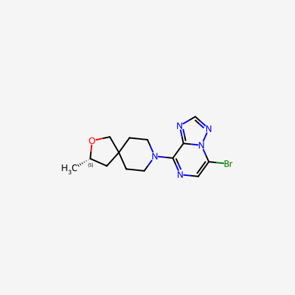 C[C@H]1CC2(CCN(c3ncc(Br)n4ncnc34)CC2)CO1